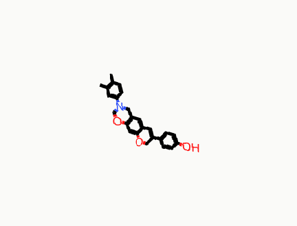 Cc1ccc(N2COc3cc4c(cc3C2)C=C(c2ccc(O)cc2)CO4)cc1C